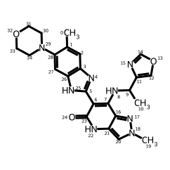 Cc1cc2nc(-c3c(NC(C)c4cocn4)c4nn(C)cc4[nH]c3=O)[nH]c2cc1N1CCOCC1